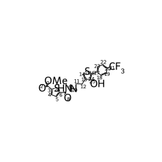 COC(=O)c1ccc(C(=O)NN=CCc2csc(-c3ccc(C(F)(F)F)cc3)c2O)s1